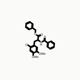 COc1cc(Cl)c(CC(NC(=O)c2ccccc2)C(=O)OCc2ccccc2)cc1OC